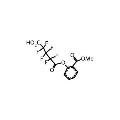 COC(=O)c1ccccc1OC(=O)C(F)(F)C(F)(F)C(F)(F)C(=O)O